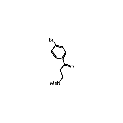 CNCCC(=O)c1ccc(Br)cc1